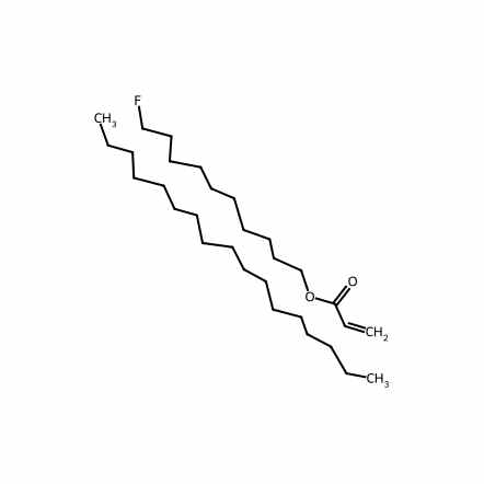 C=CC(=O)OCCCCCCCCCCF.CCCCCCCCCCCCCCCCC